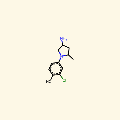 CC1CC(N)CN1c1ccc(C#N)c(Cl)c1